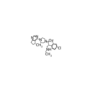 CCNC[C@@H](C(=O)N1CCN(c2ncnc3c2[C@H](C)CC3)CC1)c1ccc(Cl)cc1F